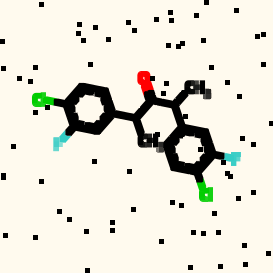 CC(C(=O)C(C)c1ccc(Cl)c(F)c1)c1ccc(Cl)c(F)c1